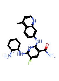 Cc1ccnc2cc(Nc3nc(NC4CCCC[C@@H]4N)c(F)cc3C(N)=O)ccc12